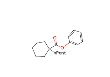 CCCCCC1(C(=O)Oc2ccccc2)CCCCC1